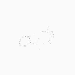 CN1[C@@H]2CC[C@H]1C[C@]1(Cc3ccccc3[C@H]1N)C2